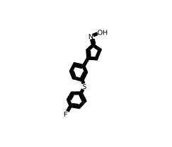 ON=C1C=C(c2cccc(Sc3ccc(F)cc3)c2)CC1